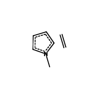 C=C.Cn1cccc1